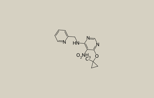 CC1(Oc2ncnc(NCc3ccccn3)c2[N+](=O)[O-])CC1